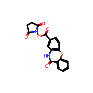 O=C(ON1C(=O)CCC1=O)c1ccc2c(c1)NC(=O)c1ccccc1S2